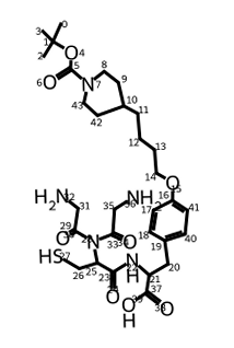 CC(C)(C)OC(=O)N1CCC(CCCCOc2ccc(CC(NC(=O)C(CS)N(C(=O)CN)C(=O)CN)C(=O)O)cc2)CC1